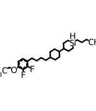 CCCC[SiH]1CCC(C2CCC(CCCCc3ccc(OCC)c(F)c3F)CC2)CC1